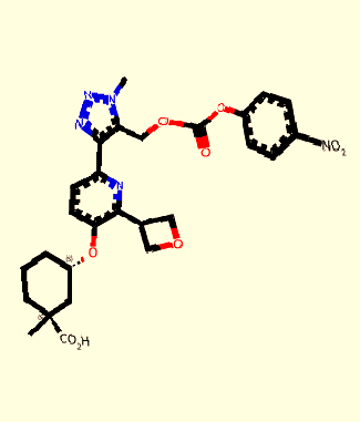 Cn1nnc(-c2ccc(O[C@H]3CCC[C@](C)(C(=O)O)C3)c(C3COC3)n2)c1COC(=O)Oc1ccc([N+](=O)[O-])cc1